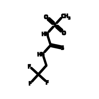 CS(=O)(=O)NC(=S)NCC(F)(F)F